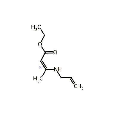 C=CCN/C(C)=C\C(=O)OCC